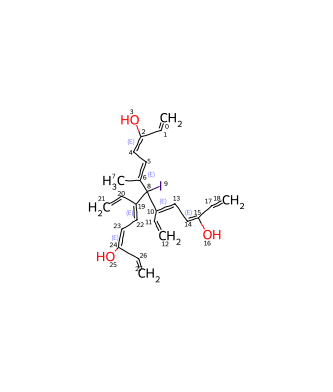 C=C/C(O)=C\C=C(/C)C(I)(/C(C=C)=C/C=C(/O)C=C)/C(C=C)=C/C=C(/O)C=C